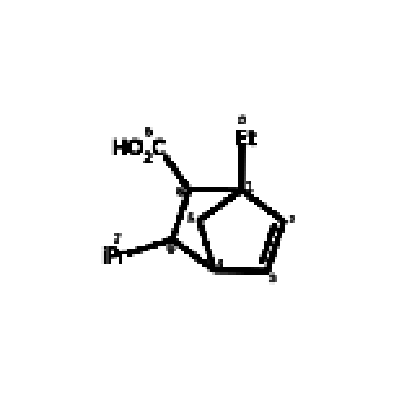 CCC12C=CC(C1)C(C(C)C)C2C(=O)O